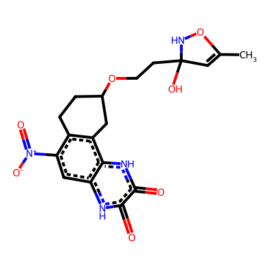 CC1=CC(O)(CCOC2CCc3c([N+](=O)[O-])cc4[nH]c(=O)c(=O)[nH]c4c3C2)NO1